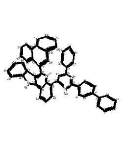 c1ccc(-c2ccc(-c3nc(-c4ccccc4)cc(-c4cccc5c4nc(-c4cc6ccccc6c6ccccc46)c4c6ccccc6sc54)n3)cc2)cc1